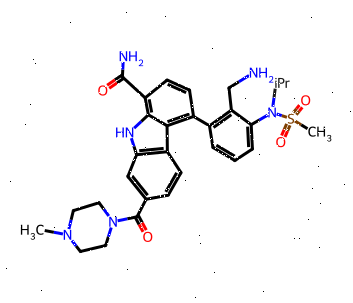 CC(C)N(c1cccc(-c2ccc(C(N)=O)c3[nH]c4cc(C(=O)N5CCN(C)CC5)ccc4c23)c1CN)S(C)(=O)=O